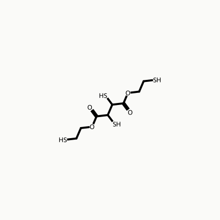 O=C(OCCS)C(S)C(S)C(=O)OCCS